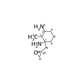 CC1C(N)CCCC1(N)CC1CO1